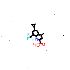 Cc1cc(C(=O)O)nc2c(C(F)(F)F)cc(C3CC3)cc12